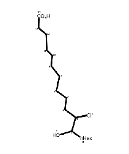 CCCCCCC(O)C(Cl)CCCCCCCCCC(=O)O